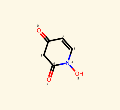 O=C1C=CN(O)C(=O)C1